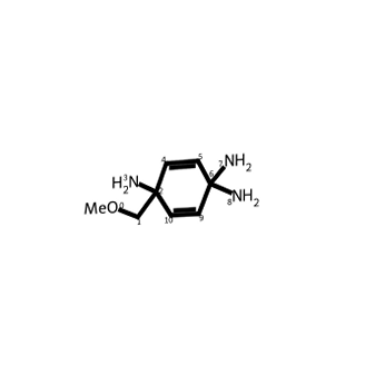 COCC1(N)C=CC(N)(N)C=C1